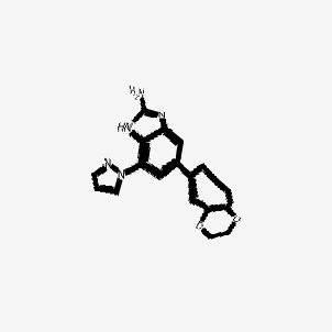 Nc1nc2cc(-c3ccc4c(c3)OCCO4)cc(-n3cccn3)c2[nH]1